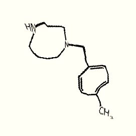 Cc1ccc(CN2CCCNCC2)cc1